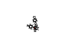 CN1[C@@H]2CC[C@H]1[C@@H](COc1ccc(Cl)cc1)[C@H](c1ccc(F)cc1)C2